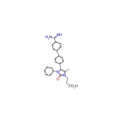 Cc1c(-c2ccc(-c3ccc(C(=N)N)cc3)cc2)n(-c2ccccc2)c(=O)n1CCC(=O)O